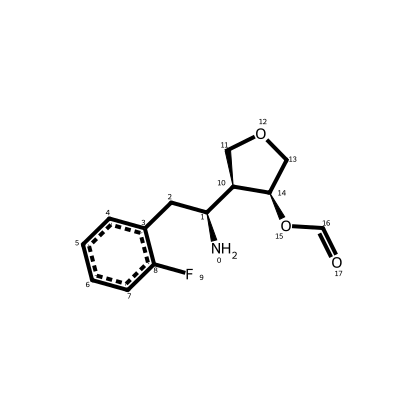 N[C@@H](Cc1ccccc1F)[C@H]1COC[C@H]1OC=O